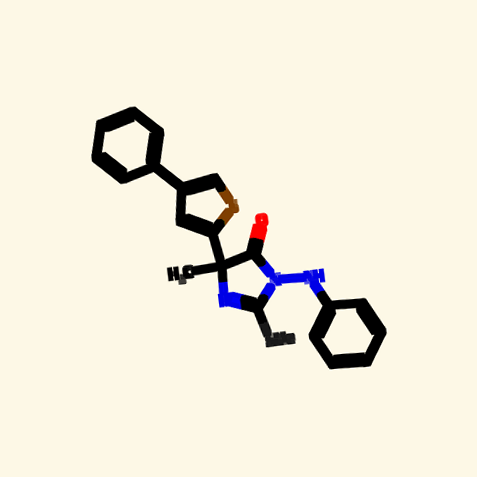 CSC1=NC(C)(c2cc(-c3ccccc3)cs2)C(=O)N1Nc1ccccc1